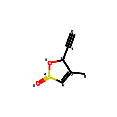 C#CC1OS(=O)C=C1C